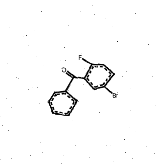 O=C(c1ccccc1)c1cc(Br)ccc1F